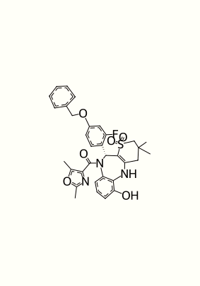 Cc1nc(C(=O)N2c3cccc(O)c3NC3=C([C@H]2c2ccc(OCc4ccccc4)cc2F)S(=O)(=O)CC(C)(C)C3)c(C)o1